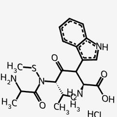 CSN(C(=O)C(C)N)[C@H](C(=O)C(c1c[nH]c2ccccc12)[C@H](N)C(=O)O)C(C)C.Cl